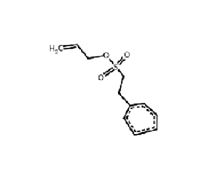 C=CCOS(=O)(=O)CCc1ccccc1